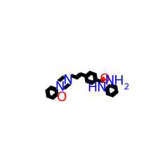 COc1ccccc1N1CCN(CC=Cc2ccc(C(=O)Nc3ccccc3N)cc2)CC1